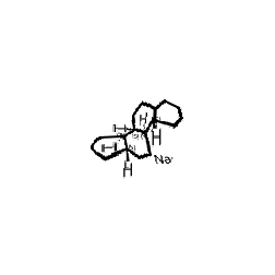 C1CC[C@H]2C(C1)CC[C@H]1[C@@H]3CCC[C@H]3CC[C@@H]12.[Na]